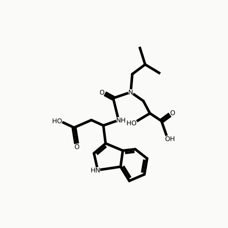 CC(C)CN(CC(O)C(=O)O)C(=O)NC(CC(=O)O)c1c[nH]c2ccccc12